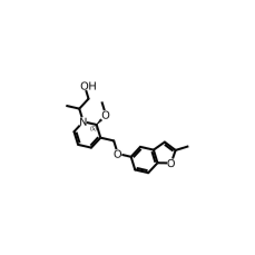 CO[C@H]1C(COc2ccc3oc(C)cc3c2)=CC=CN1C(C)CO